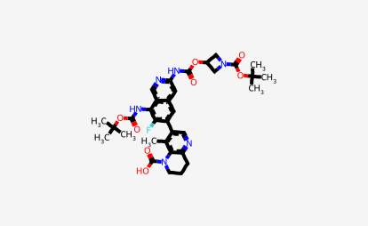 Cc1c(-c2cc3cc(NC(=O)OC4CN(C(=O)OC(C)(C)C)C4)ncc3c(NC(=O)OC(C)(C)C)c2F)cnc2c1N(C(=O)O)CCC2